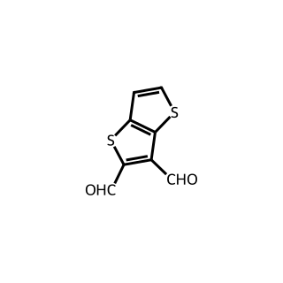 O=Cc1sc2ccsc2c1C=O